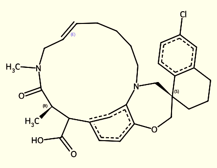 C[C@H]1C(=O)N(C)C/C=C/CCCCN2C[C@@]3(CCCc4cc(Cl)ccc43)COc3ccc(cc32)C1C(=O)O